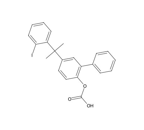 CC(C)(c1ccc(OC(=O)O)c(-c2ccccc2)c1)c1ccccc1I